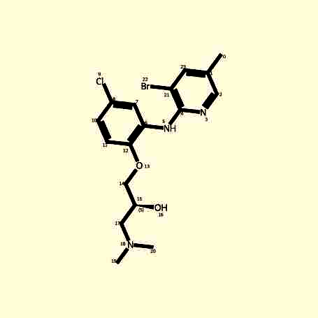 Cc1cnc(Nc2cc(Cl)ccc2OC[C@@H](O)CN(C)C)c(Br)c1